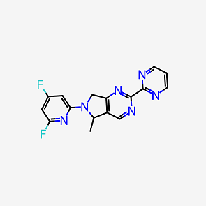 CC1c2cnc(-c3ncccn3)nc2CN1c1cc(F)cc(F)n1